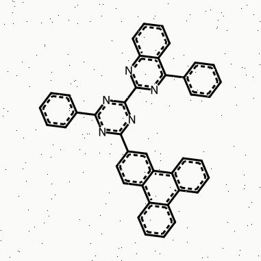 c1ccc(-c2nc(-c3ccc4c5ccccc5c5ccccc5c4c3)nc(-c3nc(-c4ccccc4)c4ccccc4n3)n2)cc1